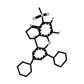 CS(=O)(=O)c1c(F)c(F)c(Oc2c(C3CCCCC3)cc(C3CCCCC3)cc2C2CCCCC2)c(F)c1F